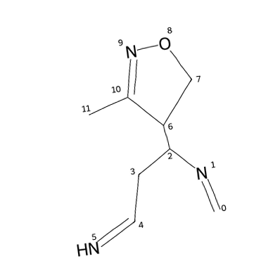 C=NC(CC=N)C1CON=C1C